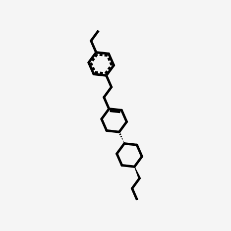 CCC[C@H]1CC[C@H](C2CC=C(CCc3ccc(CC)cc3)CC2)CC1